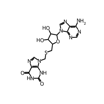 Nc1ncnc2c1ncn2C1OC(CSCn2cnc3c(=O)[nH]c(=O)[nH]c32)C(O)C1O